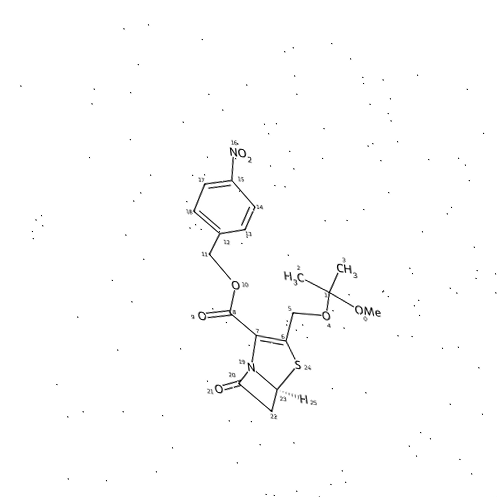 COC(C)(C)OCC1=C(C(=O)OCc2ccc([N+](=O)[O-])cc2)N2C(=O)C[C@@H]2S1